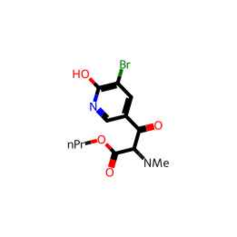 CCCOC(=O)C(NC)C(=O)c1cnc(O)c(Br)c1